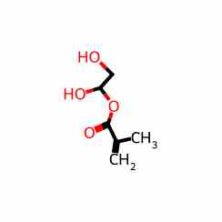 C=C(C)C(=O)OC(O)CO